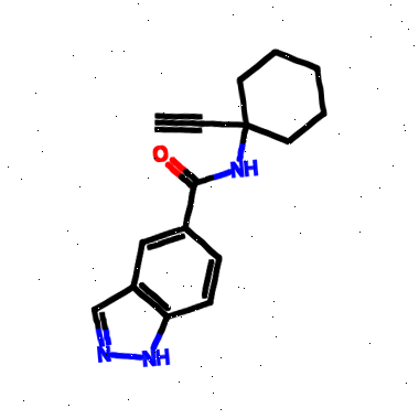 C#CC1(NC(=O)c2ccc3[nH]ncc3c2)CCCCC1